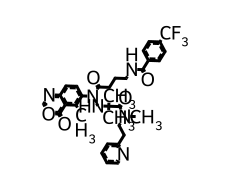 Cc1c(N(NC(C)(C)C(=O)N(C)CCc2ccccn2)C(=O)CCCNC(=O)c2ccc(C(F)(F)F)cc2)ccc2ncoc(=O)c12